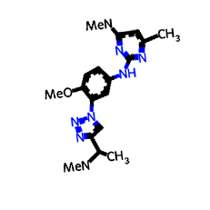 CNc1cc(C)nc(Nc2ccc(OC)c(-n3cc(C(C)NC)nn3)c2)n1